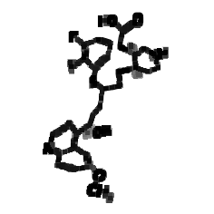 COc1ccc2nccc([C@@H](O)CCC(CC[C@@H]3CCNC[C@@H]3CC(=O)O)Sc3cccc(F)c3F)c2c1